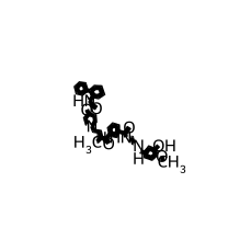 COc1ccc(CNCCNC(=O)c2cccc(C(=O)N(C)CCN3CCC(OC(=O)Nc4ccccc4-c4ccccc4)CC3)c2)cc1O